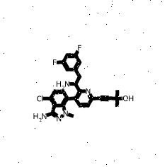 Cn1nc(N)c2c(Cl)ccc(-c3ccc(C#CC(C)(C)O)nc3C(N)Cc3cc(F)cc(F)c3)c21